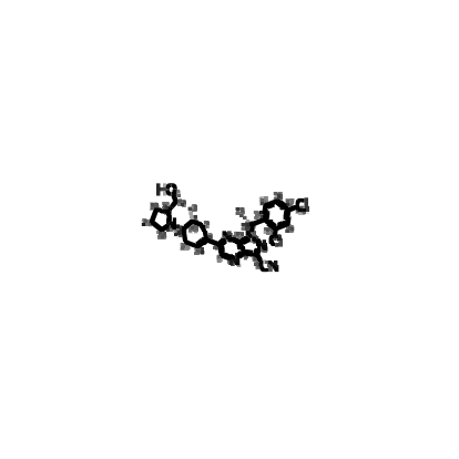 C[C@@H]1CC(c2cnc3c(C#N)nn([C@H](C)c4ccc(Cl)cc4Cl)c3n2)=CC[C@@H]1N1CCC[C@H]1CO